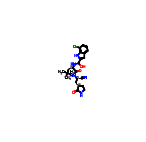 CC(C)(C)C[C@H](NC(O)c1cc2cccc(Cl)c2[nH]1)C(=O)N[C@H](C#N)C[C@@H]1CCNC1=O